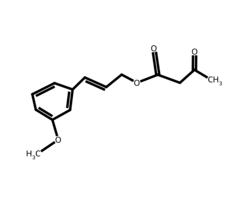 COc1cccc(/C=C/COC(=O)CC(C)=O)c1